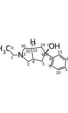 CCN1CC2C[C@@](O)(c3ccccc3)C[C@@H]2C1